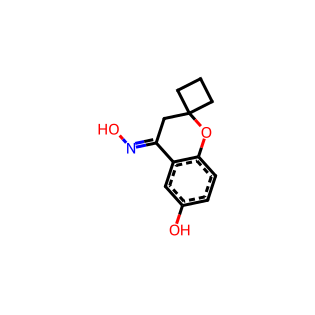 ON=C1CC2(CCC2)Oc2ccc(O)cc21